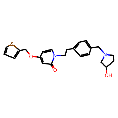 O=c1cc(OCc2cccs2)ccn1CCc1ccc(CN2CCC(O)C2)cc1